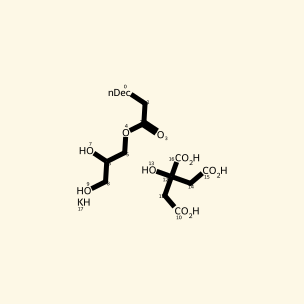 CCCCCCCCCCCC(=O)OCC(O)CO.O=C(O)CC(O)(CC(=O)O)C(=O)O.[KH]